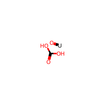 O=C(O)O.[O]=[U]